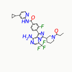 CCC(=O)N1CCCC(c2nc(-c3ccc(C(=O)Nc4cc(C5CC5)ccn4)cc3F)c3c(N)ncc(C(F)(F)F)n23)C1